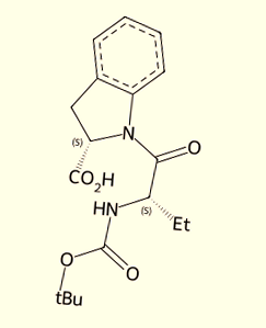 CC[C@H](NC(=O)OC(C)(C)C)C(=O)N1c2ccccc2C[C@H]1C(=O)O